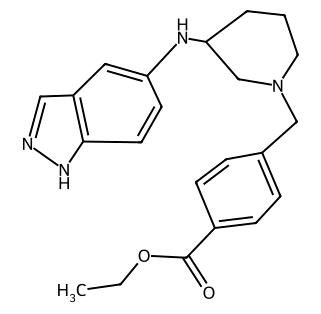 CCOC(=O)c1ccc(CN2CCCC(Nc3ccc4[nH]ncc4c3)C2)cc1